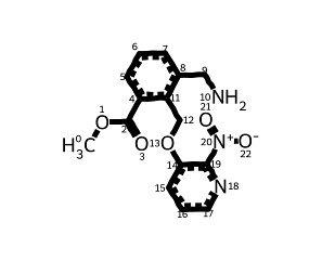 COC(=O)c1cccc(CN)c1COc1cccnc1[N+](=O)[O-]